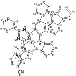 N#Cc1cccc(-c2ccc3c(c2)c2ccccc2n3-c2ccc(-c3ccccc3-n3c4ccccc4c4ccccc43)cc2-c2nc(-c3ccccc3)nc(-c3ccccc3)n2)c1